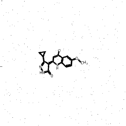 COc1ccc2c(c1)C(Cl)=CC(=C1C(=O)NN=C1C1CC1)N2